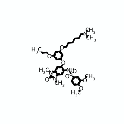 CCCOc1cc(OCCCCCCN(C)C)cc(Oc2cc3c(cc2NS(=O)(=O)c2ccc(OC)c(OC)c2)n(C)c(=O)n3C)c1